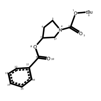 CC(C)(C)OC(=O)N1CCC(OC(=O)c2ccccc2)C1